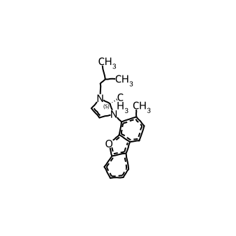 Cc1ccc2c(oc3ccccc32)c1N1C=CN(CC(C)C)[C@@H]1C